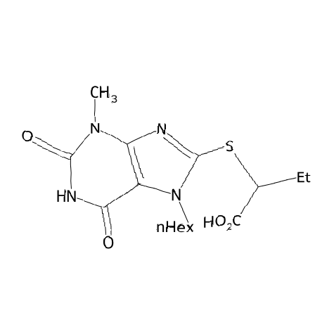 CCCCCCn1c(SC(CC)C(=O)O)nc2c1c(=O)[nH]c(=O)n2C